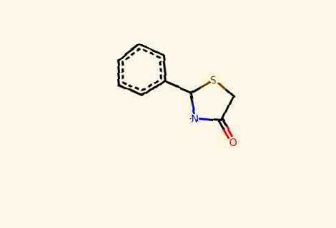 O=C1CSC(c2ccccc2)[N]1